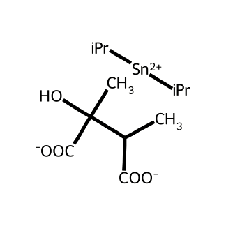 CC(C(=O)[O-])C(C)(O)C(=O)[O-].C[CH](C)[Sn+2][CH](C)C